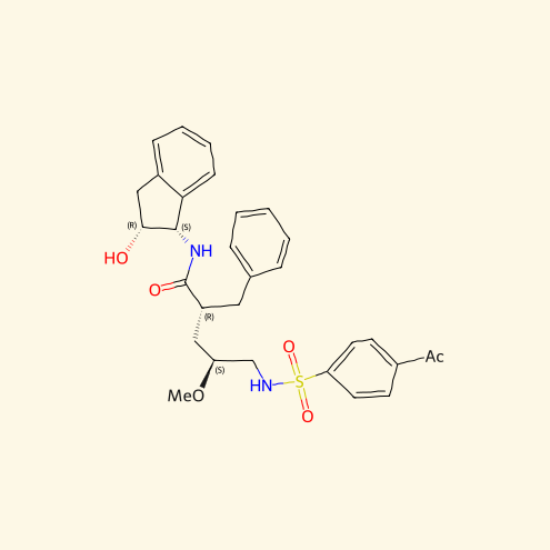 CO[C@H](CNS(=O)(=O)c1ccc(C(C)=O)cc1)C[C@@H](Cc1ccccc1)C(=O)N[C@H]1c2ccccc2C[C@H]1O